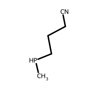 CPCCCC#N